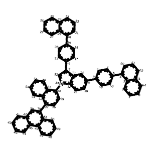 c1ccc2c(-c3ccc(-c4ccc5c(c4)c(-c4ccc(-c6cccc7ccccc67)cc4)cn5-c4ccc(-c5cc6ccccc6c6ccccc56)c5ccccc45)cc3)cccc2c1